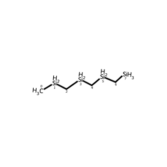 C[SiH2]C[SiH2]C[SiH2]C[SiH3]